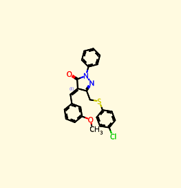 COc1cccc(/C=C2/C(=O)N(c3ccccc3)N=C2CSc2ccc(Cl)cc2)c1